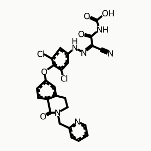 N#CC(=NNc1cc(Cl)c(Oc2ccc3c(c2)CCN(Cc2ccccn2)C3=O)c(Cl)c1)C(=O)NC(=O)O